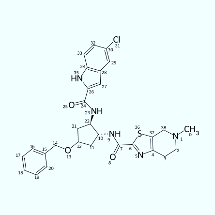 CN1CCc2nc(C(=O)N[C@@H]3CC(OCc4ccccc4)C[C@H]3NC(=O)c3cc4cc(Cl)ccc4[nH]3)sc2C1